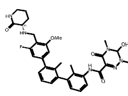 COc1cc(-c2cccc(-c3cccc(NC(=O)C4=NN(C)C(O)N(C)C4=O)c3C)c2C)cc(F)c1CN[C@H]1CCCNC1=O